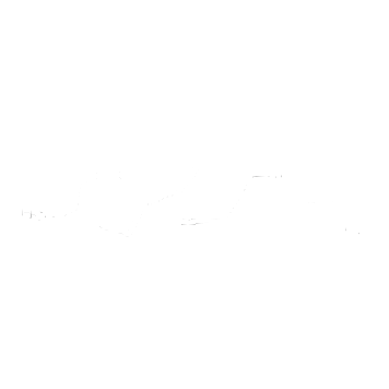 OCCOc1ccc(-c2ccc(O)cc2)cc1